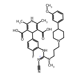 COc1cccc(C2CCN(CCCN(C)/C(=N\C#N)Nc3cc(C4C(C(=O)O)=C(C)NC(C)=C4C(=O)O)ccc3F)CC2)c1